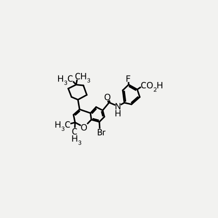 CC1(C)CCC(C2=CC(C)(C)Oc3c(Br)cc(C(=O)Nc4ccc(C(=O)O)c(F)c4)cc32)CC1